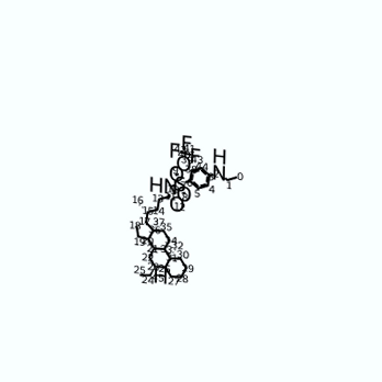 CCNc1ccc(S(=O)(=O)NC(=O)CC[C@@H](C)[C@H]2CCC3C4C[C@H](CC)[C@@H]5CCCC[C@]5(C)C4CC[C@@]32C)c(OC(F)(F)F)c1